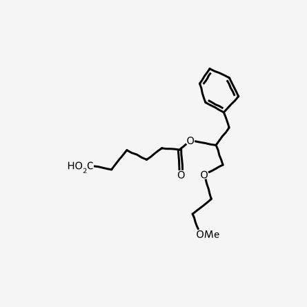 COCCOCC(Cc1ccccc1)OC(=O)CCCCC(=O)O